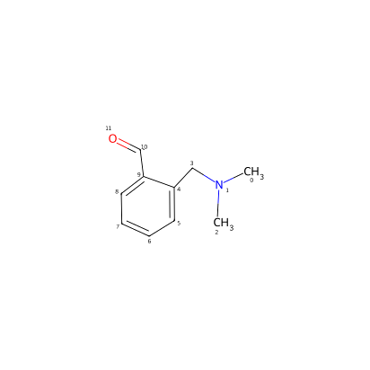 CN(C)Cc1ccccc1[C]=O